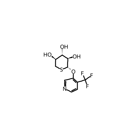 O[C@@H]1[C@@H](O)[C@H](Oc2cnccc2C(F)(F)F)SC[C@H]1O